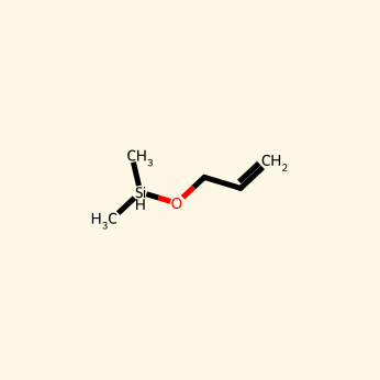 C=CCO[SiH](C)C